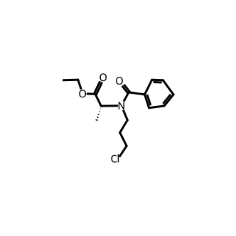 CCOC(=O)[C@@H](C)N(CCCCl)C(=O)c1ccccc1